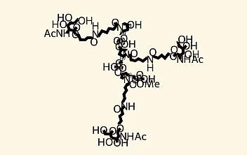 COP(=O)(O)OC[C@@H]1C[C@@H](OP(=O)(O)OC[C@@H]2CC(OP(=O)(O)OC[C@@H]3C[C@@H](O)CN3C(=O)CCCCCNC(=O)CCCCOC3OC(CO)C(O)C(O)C3NC(C)=O)CN2C(=O)CCCCCNC(=O)CCCCOC2OC(CO)C(O)C(O)C2NC(C)=O)CN1C(=O)CCCCCNC(=O)CCCCOC1OC(CO)C(O)C(O)C1NC(C)=O